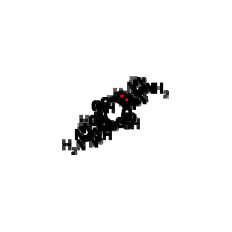 Nc1ncnc2c1ncn2[C@H]1[C@H](O)[C@@H]2O[PH](=O)OC[C@H]3O[C@@H](n4cnc5c(N)ncnc54)[C@H](O[P@@](=O)(S)OC[C@]24C[C@H]14)[C@@H]3O